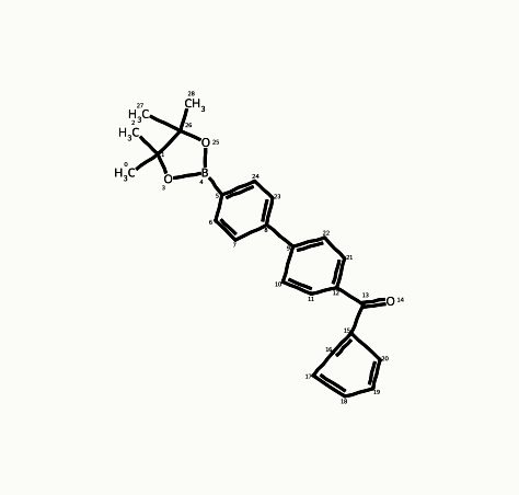 CC1(C)OB(c2ccc(-c3ccc(C(=O)c4ccccc4)cc3)cc2)OC1(C)C